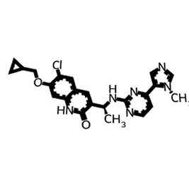 C[C@H](Nc1nccc(-c2cncn2C)n1)c1cc2cc(Cl)c(OCC3CC3)cc2[nH]c1=O